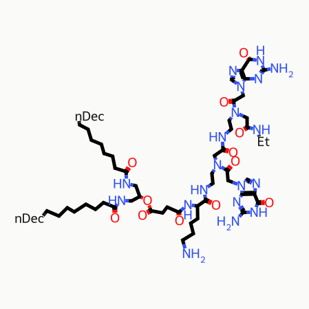 CCCCCCCCCCCCCCCCCC(=O)NCC(CNC(=O)CCCCCCCCCCCCCCCCC)OC(=O)CCC(=O)NC(CCCCN)C(=O)NCCN(CC(=O)NCCN(CC(=O)NCC)C(=O)Cn1cnc2c(=O)[nH]c(N)nc21)C(=O)Cn1cnc2c(=O)[nH]c(N)nc21